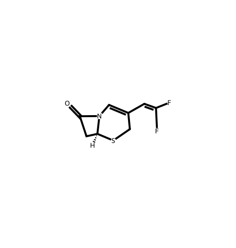 O=C1C[C@@H]2SCC(C=C(F)F)=CN12